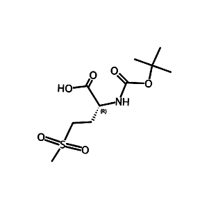 CC(C)(C)OC(=O)N[C@H](CCS(C)(=O)=O)C(=O)O